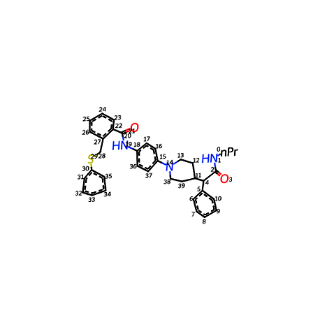 CCCNC(=O)C(c1ccccc1)C1CCN(c2ccc(NC(=O)c3ccccc3CSc3ccccc3)cc2)CC1